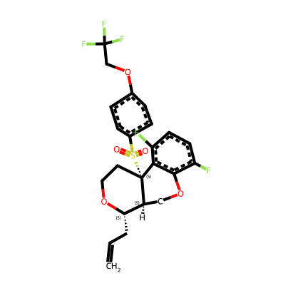 C=CC[C@@H]1OCC[C@@]2(S(=O)(=O)c3ccc(OCC(F)(F)F)cc3)c3c(F)ccc(F)c3OC[C@@H]12